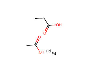 CC(=O)O.CCC(=O)O.[Pd].[Pd]